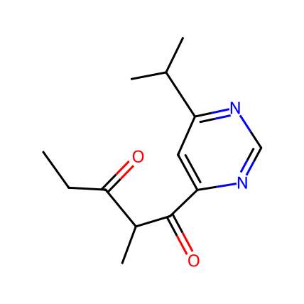 CCC(=O)C(C)C(=O)c1cc(C(C)C)ncn1